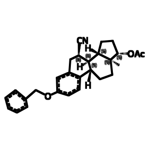 CC(=O)O[C@H]1CC[C@H]2[C@@H]3[C@H](C#N)Cc4cc(OCc5ccccc5)ccc4[C@H]3CC[C@]12C